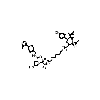 Cc1ncsc1-c1ccc(CNC(=O)[C@@H]2C[C@@H](O)CN2C(=O)[C@@H](NC(=O)COCCCCNC(=O)CC2N=C(c3ccc(Cl)cc3)c3c(sc(C)c3C)-n3c(C)nnc32)C(C)(C)C)cc1